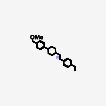 C=Cc1ccc(/C=C/C2CCC(c3ccc(COC)cc3)CC2)cc1